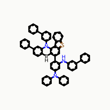 B1c2ccc(-c3ccccc3)cc2N(c2cccc(-c3ccccc3)c2)c2c1c(-c1ccc(N(c3ccccc3)c3ccccc3)cc1Nc1cccc(-c3ccccc3)c1)cc1sc3ccccc3c21